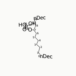 CCCCCCCCCCCCCCCCC(CCCCCCCCCCCC)OP(=O)(O)O